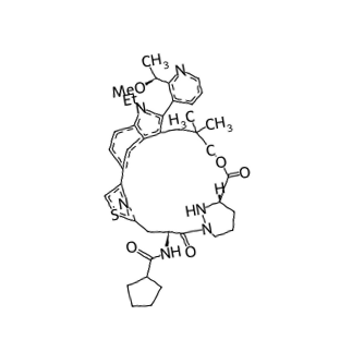 CCn1c(-c2cccnc2[C@H](C)OC)c2c3cc(ccc31)-c1csc(n1)C[C@H](NC(=O)C1CCCC1)C(=O)N1CCC[C@H](N1)C(=O)OCC(C)(C)C2